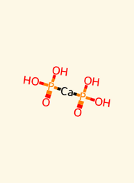 O=[P](O)(O)[Ca][P](=O)(O)O